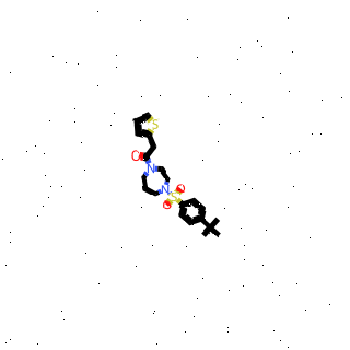 CC(C)(C)c1ccc(S(=O)(=O)N2CCCN(C(=O)Cc3cccs3)CC2)cc1